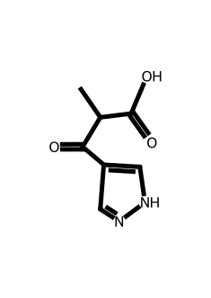 CC(C(=O)O)C(=O)c1cn[nH]c1